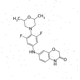 CC1CN(c2c(F)cc(Nc3ccc4c(c3)OCC(=O)N4)cc2F)CC(C)O1